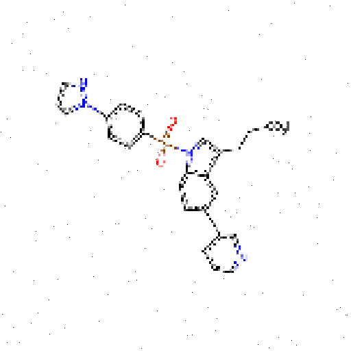 O=C(O)CCc1cn(S(=O)(=O)c2ccc(-n3cccn3)cc2)c2ccc(-c3cccnc3)cc12